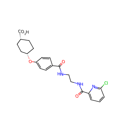 O=C(NCCNC(=O)c1cccc(Cl)n1)c1ccc(O[C@H]2CC[C@@H](C(=O)O)CC2)cc1